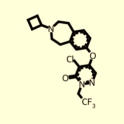 O=c1c(Cl)c(Oc2ccc3c(c2)CCN(C2CCC2)CC3)cnn1CC(F)(F)F